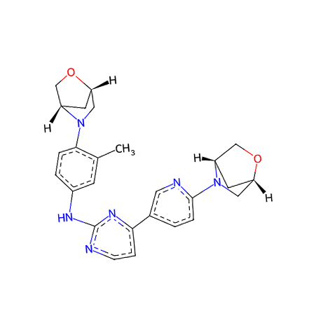 Cc1cc(Nc2nccc(-c3ccc(N4C[C@@H]5C[C@H]4CO5)nc3)n2)ccc1N1C[C@@H]2C[C@H]1CO2